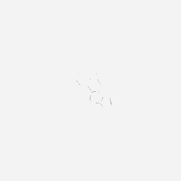 OC1=c2ccc3c(c2C=C1)C=CC1(O)CC2(C=CC=31)OCCCO2